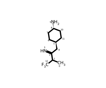 CC(C(=N)C[C@H]1CC[C@H](N)CC1)C(F)(F)F